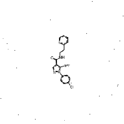 CCCc1c(C(=O)NCCc2ccccn2)cnn1-c1ccc(Cl)cc1